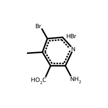 Br.Cc1c(Br)cnc(N)c1C(=O)O